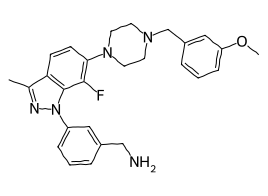 COc1cccc(CN2CCN(c3ccc4c(C)nn(-c5cccc(CN)c5)c4c3F)CC2)c1